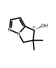 CC1(C)Cn2nccc2[C@@H]1O